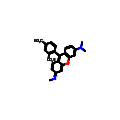 C/N=c1\ccc2c(-c3ccc(C(=O)O)cc3C(=O)O)c3ccc(N(C)C)cc3oc-2c1